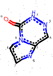 O=c1[nH]ncc2nccn12